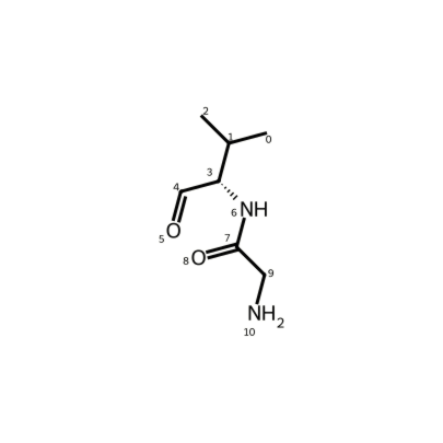 CC(C)[C@@H](C=O)NC(=O)CN